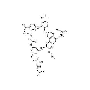 C/C(=N\NC(=O)Nc1cc(F)cc(F)c1)c1ncccc1C(=O)O.CCOC(=O)C(C)OC(=O)c1cc(Oc2ccc(C(F)(F)F)cc2Cl)ccc1[N+](=O)[O-].C[S+](C)C.O=C(O)CNCP(=O)([O-])O